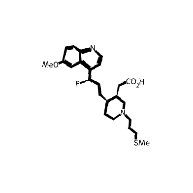 COc1ccc2nccc([C@H](F)CC[C@@H]3CCN(CCCSC)C[C@@H]3CC(=O)O)c2c1